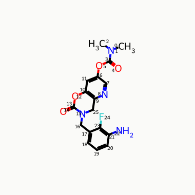 CN(C)C(=O)Oc1cnc2c(c1)OC(=O)N(Cc1cccc(N)c1F)C2